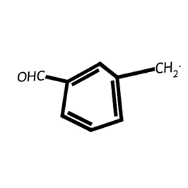 [CH2]c1cccc(C=O)c1